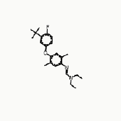 CCN(C=Nc1cc(C)c(Oc2ccc(F)c(C(C)(C)C)c2)cc1C)CC